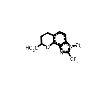 CCn1c(C(F)(F)F)nc2c3c(ccc21)CCC(C(=O)O)O3